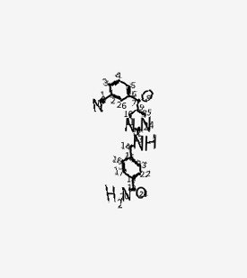 N#Cc1cccc(C(=O)c2cnc(NCc3ccc(C(N)=O)cc3)nc2)c1